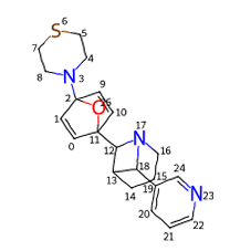 C1=CC2(N3CCSCC3)C=CC1(C1C3CCCN1C3c1cccnc1)O2